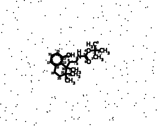 CC(C)(C)OC(=O)NCCC1(C)c2c(O)cccc2CCC1(C)C